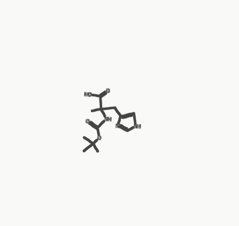 CC(C)(C)OC(=O)NC(C)(Cc1c[nH]cn1)C(=O)O